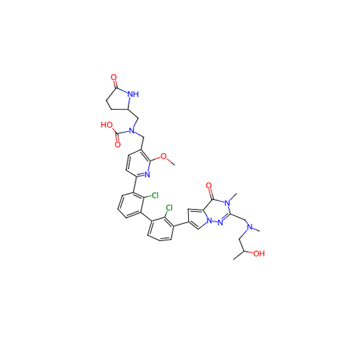 COc1nc(-c2cccc(-c3cccc(-c4cc5c(=O)n(C)c(CN(C)CC(C)O)nn5c4)c3Cl)c2Cl)ccc1CN(CC1CCC(=O)N1)C(=O)O